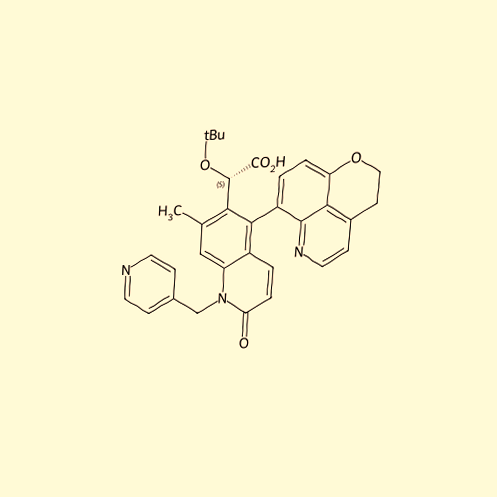 Cc1cc2c(ccc(=O)n2Cc2ccncc2)c(-c2ccc3c4c(ccnc24)CCO3)c1[C@H](OC(C)(C)C)C(=O)O